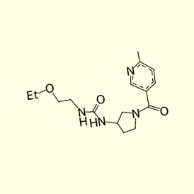 CCOCCNC(=O)NC1CCN(C(=O)c2ccc(C)nc2)C1